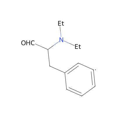 CCN(CC)C(C=O)Cc1c[c]ccc1